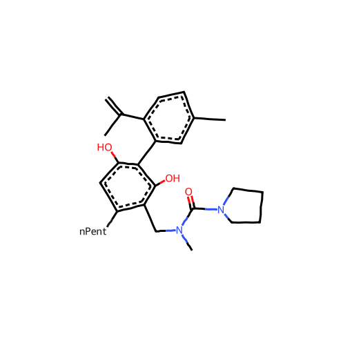 C=C(C)c1ccc(C)cc1-c1c(O)cc(CCCCC)c(CN(C)C(=O)N2CCCC2)c1O